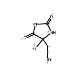 CC(C)CC1(S)NC(=O)NC1=O